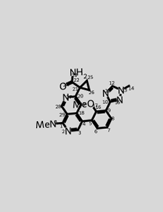 CNc1ncc(-c2cccc(-c3ncn(C)n3)c2OC)c2cc(C3(C(N)=O)CC3)ncc12